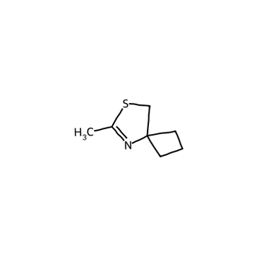 CC1=NC2(CCC2)CS1